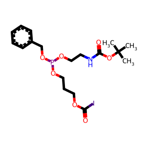 CC(C)(C)OC(=O)NCCOP(OCCCOC(=O)I)OCc1ccccc1